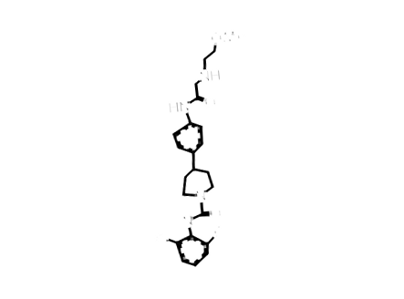 COCCNCC(=O)Nc1ccc(C2CCN(C(=O)Nc3c(Cl)cccc3Cl)CC2)cc1